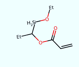 C=CC(=O)OC(CC)[SiH2]OCC